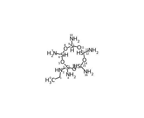 CCN[Si]1(N)O[SiH](N)O[SiH](N)O[SiH](N)O[SiH](N)O1